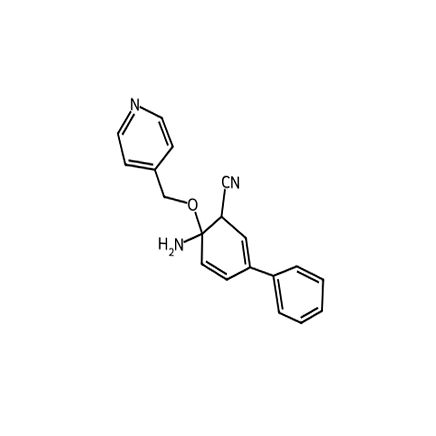 N#CC1C=C(c2ccccc2)C=CC1(N)OCc1ccncc1